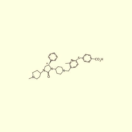 Cc1nc(Sc2ccc(C(=O)O)cc2)ccc1CN1CCC(N2C(=O)N(C3CCN(C)CC3)C[C@H]2c2ccccc2)CC1